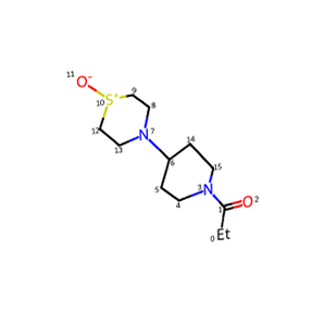 CCC(=O)N1CCC(N2CC[S+]([O-])CC2)CC1